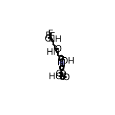 O=C(CCCCCNC(=O)C(F)(F)F)NCCc1ccc(O)c(/N=N/c2ccc(C(=O)ON3C(=O)CCC3O)cc2)c1